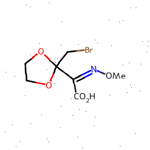 CO/N=C(\C(=O)O)C1(CBr)OCCO1